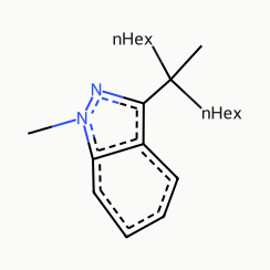 CCCCCCC(C)(CCCCCC)c1nn(C)c2ccccc12